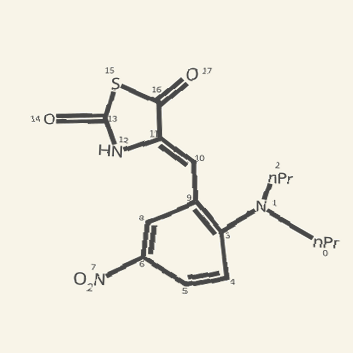 CCCN(CCC)c1ccc([N+](=O)[O-])cc1C=C1NC(=O)SC1=O